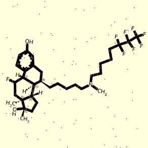 CN(CCCCC[C@@H]1Cc2cc(O)ccc2[C@H]2C(F)C[C@@]3(C)[C@@H](CC[C@]3(C)O)[C@H]12)CCCCCC(F)(F)C(F)(F)C(F)(F)F